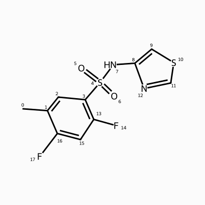 Cc1cc(S(=O)(=O)Nc2cscn2)c(F)cc1F